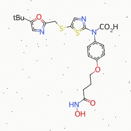 CC(C)(C)c1cnc(CSc2cnc(N(C(=O)O)c3ccc(OCCCC(=O)NO)cc3)s2)o1